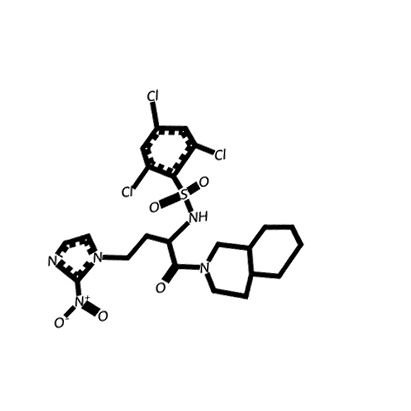 O=C(C(CCn1ccnc1[N+](=O)[O-])NS(=O)(=O)c1c(Cl)cc(Cl)cc1Cl)N1CCC2CCCCC2C1